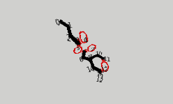 CCCC(=O)OC(=O)CC1CCOCC1